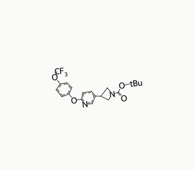 CC(C)(C)OC(=O)N1CC(c2ccc(Oc3ccc(OC(F)(F)F)cc3)nc2)C1